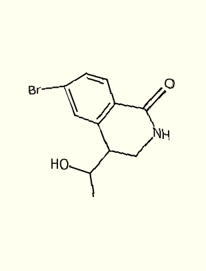 CC(O)C1CNC(=O)c2ccc(Br)cc21